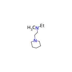 [CH2]CN(C)CCN1CCCCC1